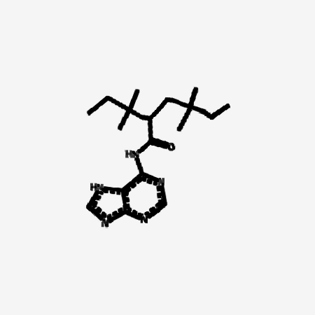 CCC(C)(C)CC(C(=O)Nc1ncnc2nc[nH]c12)C(C)(C)CC